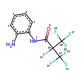 Nc1ccccc1NC(=O)C(F)(C(F)(F)F)C(F)(F)F